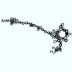 COC[C@@H]1NC(=O)[C@H](CCCNC(=O)CCOCCOCCOCCOCCC(=O)NCCOCc2cn(CCOCCOCCOCCOC[C@@]34COC(O3)[C@H](NC(C)=O)[C@@H](O)[C@H]4O)nn2)N(Cc2ccc(Cl)cc2Oc2ccc(-c3cnc(CN(C)C)n3C)cc2)C(=O)C[C@@H](Cc2ccccc2)C(=O)N(C)[C@H]2CCCC[C@@H]2NC(=O)C[C@H](Cc2ccc(Cl)cc2)N(C)C1=O